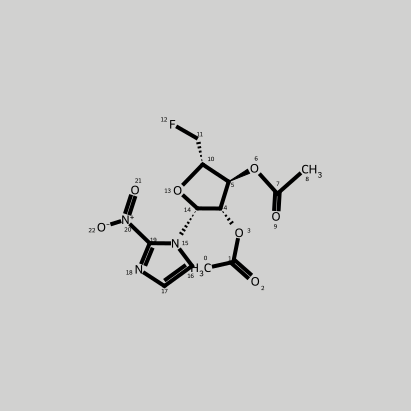 CC(=O)O[C@H]1[C@H](OC(C)=O)[C@@H](CF)O[C@H]1n1ccnc1[N+](=O)[O-]